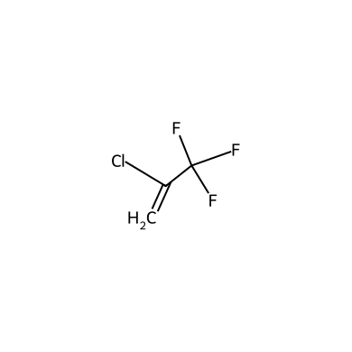 C=C(Cl)C(F)(F)F